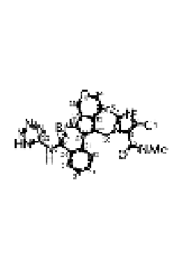 CCc1nc(Cl)c(C(=O)NC)n1Cc1c2ccocc-2c(Br)c1-c1ccccc1C(=O)Nc1nnn[nH]1